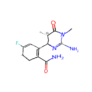 C[C@@H]1C(=O)N(C)C(N)=NC1C1=C(C(N)=O)C[CH]C(F)=C1